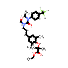 CCOC(=O)C(C)(C)Oc1c(C)cc(CCCN(C=O)C(=O)N(CC)c2ccc(C(F)(F)F)cc2)cc1C